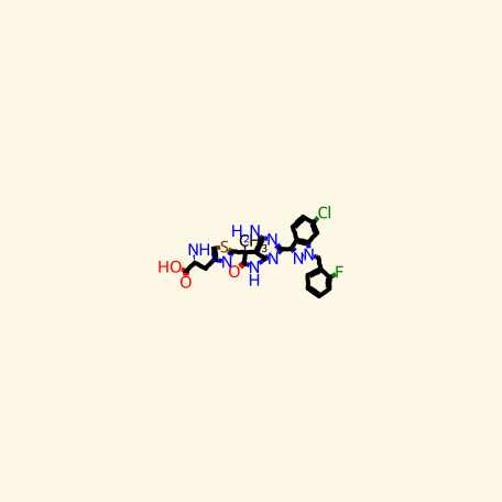 C[C@@]1(c2nc(C[C@@H](N)C(=O)O)cs2)C(=O)Nc2nc(-c3nn(Cc4ccccc4F)c4cc(Cl)ccc34)nc(N)c21